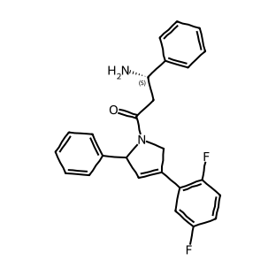 N[C@@H](CC(=O)N1CC(c2cc(F)ccc2F)=CC1c1ccccc1)c1ccccc1